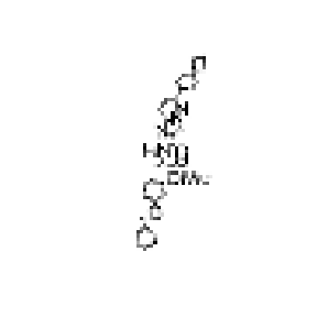 COC(=O)C(Cc1ccc(OCc2ccccc2)cc1)NC(=O)c1cn2nc(-c3ccc(Cl)cc3)ccc2n1